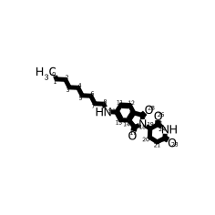 CCCCCCCCCNc1ccc2c(c1)C(=O)N(C1CCC(=O)NC1=O)C2=O